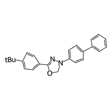 CC(C)(C)c1ccc(C2=NN(c3ccc(-c4ccccc4)cc3)CO2)cc1